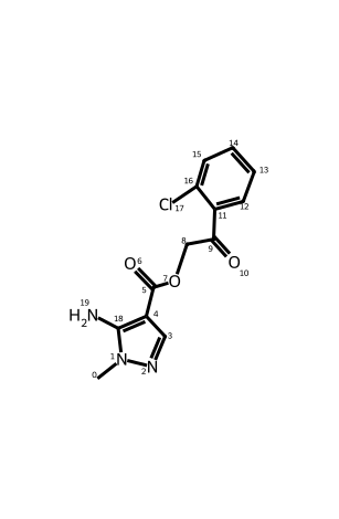 Cn1ncc(C(=O)OCC(=O)c2ccccc2Cl)c1N